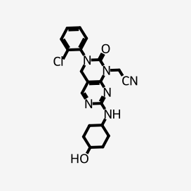 N#CCN1C(=O)N(c2ccccc2Cl)Cc2cnc(NC3CCC(O)CC3)nc21